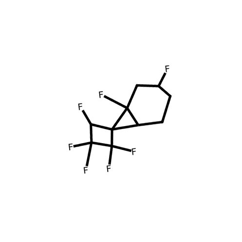 FC1CCC2C(F)(C1)C21C(F)C(F)(F)C1(F)F